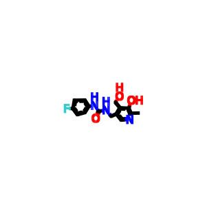 Cc1ncc(CNC(=O)Nc2ccc(F)cc2)c(CO)c1O